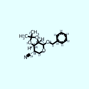 CC1(C)O[C@H]2[C@H](O1)C(OCc1ccccc1)OC[C@@H]2C#N